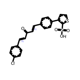 O=C(/C=C/c1ccc(Cl)cc1)/C=C/c1ccc(-c2ccsc2S(=O)(=O)O)cc1